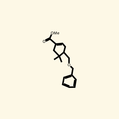 COC(=O)C1=CCC(COCc2ccccc2)C(C)(C)C1